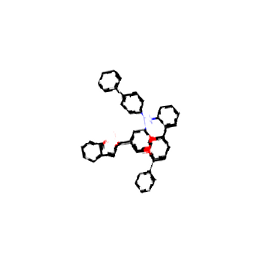 c1ccc(-c2ccc(-c3ccccc3N(c3ccc(-c4ccccc4)cc3)c3cccc(-c4cc5ccccc5o4)c3)cc2)cc1